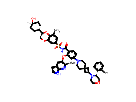 COc1nc2[nH]ccc2cc1Oc1cc(N2CCC3(CC2)CC(N2CCOC[C@H]2c2ccccc2C(C)C)C3)ccc1C(=O)NS(=O)(=O)c1cc2c(c([N+](=O)[O-])c1)O[C@H]([C@H]1CC[C@](C)(O)CC1)CO2